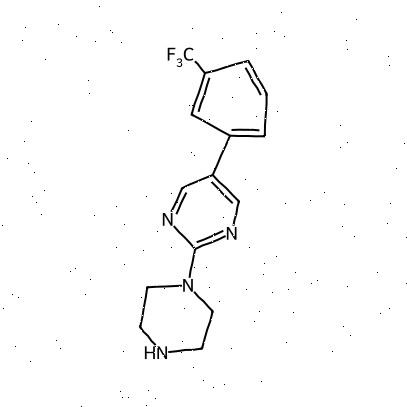 FC(F)(F)c1cccc(-c2cnc(N3CCNCC3)nc2)c1